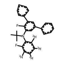 [2H]c1c([2H])c([2H])c(N(c2cc(-c3ccccc3)cc(-c3ccccc3)c2F)C(C)(C)C)c(F)c1[2H]